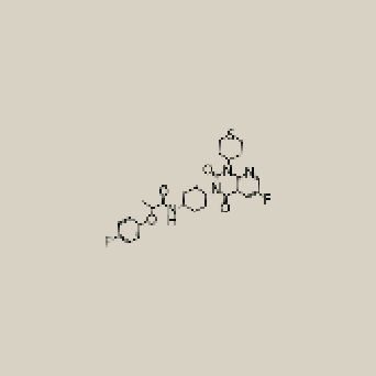 CC(Oc1ccc(F)cc1)C(=O)N[C@H]1CC[C@@H](n2c(=O)c3cc(F)cnc3n(C3CCSCC3)c2=O)CC1